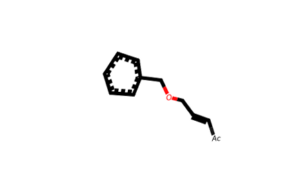 CC(=O)C=CCOCc1ccccc1